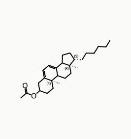 CCCCCC[C@H]1CCC2C3=CC=C4CC(OC(C)=O)CC[C@]4(C)C3CC[C@@]21C